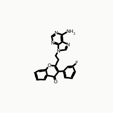 Nc1ncnc2c1ncn2CCc1oc2ccccc2c(=O)c1-c1cccc(F)c1